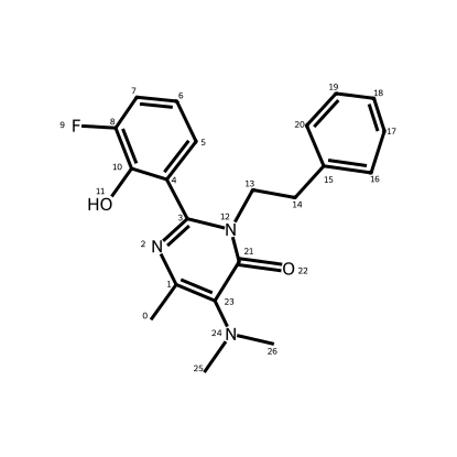 Cc1nc(-c2cccc(F)c2O)n(CCc2ccccc2)c(=O)c1N(C)C